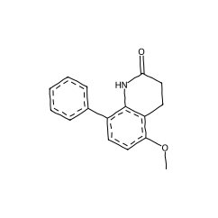 COc1ccc(-c2ccccc2)c2c1CCC(=O)N2